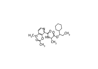 CCC(OC(=O)C(C)NC(=O)c1nccc(OC)c1OC(C)=O)C1CCCCC1